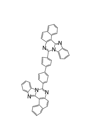 c1ccc2c(c1)ccc1nc(-c3ccc(-c4ccc(-c5nc6ccc7ccccc7c6c6nc7ccccc7n56)cc4)cc3)n3c4ccccc4nc3c12